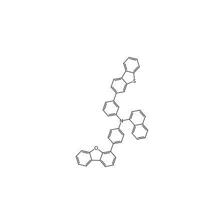 c1cc(-c2ccc3c(c2)sc2ccccc23)cc(N(c2ccc(-c3cccc4c3oc3ccccc34)cc2)c2cccc3ccccc23)c1